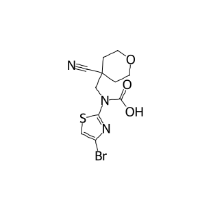 N#CC1(CN(C(=O)O)c2nc(Br)cs2)CCOCC1